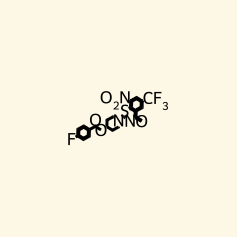 O=C(OC1CCN(c2nc(=O)c3cc(C(F)(F)F)cc([N+](=O)[O-])c3s2)CC1)c1ccc(F)cc1